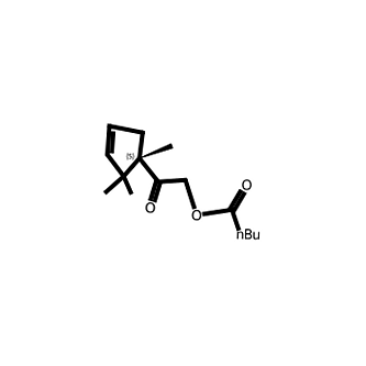 CCCCC(=O)OCC(=O)[C@@]1(C)CC=CC1(C)C